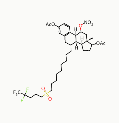 CC(=O)Oc1ccc2c(c1)C[C@@H](CCCCCCCCCS(=O)(=O)CCCC(F)(F)C(F)(F)F)[C@@H]1[C@@H]2[C@@H](O[N+](=O)[O-])C[C@]2(C)[C@@H](OC(C)=O)CC[C@@H]12